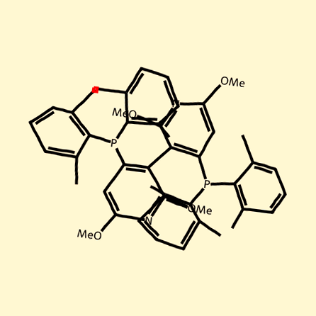 COc1cc(P(c2c(C)cccc2C)c2c(C)cccc2C)c(-c2c(P(c3c(C)cccc3C)c3c(C)cccc3C)cc(OC)nc2OC)c(OC)n1